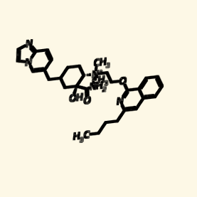 CCCCc1cc2ccccc2c(OCC[N+](C)(C)[C@H]2CCC(Cc3ccc4nccn4c3)C[C@@]2(O)C(N)=O)n1